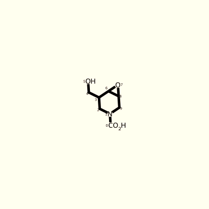 O=C(O)N1CC(CO)C2OC2C1